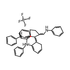 C1=CCC(=C2C(=CNc3ccccc3)CCC2=CNc2ccccc2)C([NH+](c2ccccc2)c2ccccc2)=C1.F[B-](F)(F)F